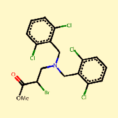 COC(=O)C(Br)CN(Cc1c(Cl)cccc1Cl)Cc1c(Cl)cccc1Cl